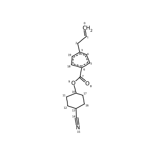 C=CCc1ccc(C(=O)OC2CCC(C#N)CC2)cc1